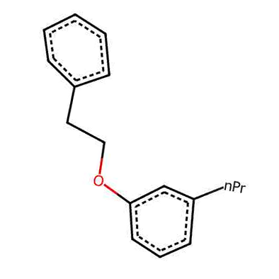 [CH2]CCc1cccc(OCCc2ccccc2)c1